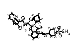 Cc1nn2cccnc2c1C(=O)N[C@@H](C)c1nc2cccc(C#CC3CCN(S(C)(=O)=O)CC3)c2c(=O)n1-c1ccccc1